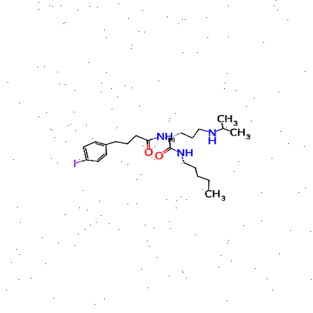 CCCCCNC(=O)[C@@H](CCCNC(C)C)NC(=O)CCCc1ccc(I)cc1